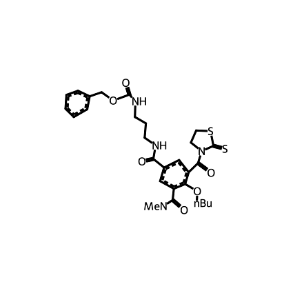 CCCCOc1c(C(=O)NC)cc(C(=O)NCCCNC(=O)OCc2ccccc2)cc1C(=O)N1CCSC1=S